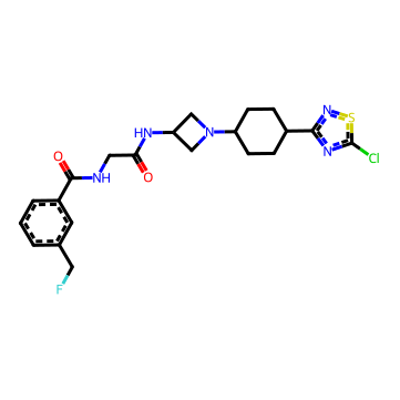 O=C(CNC(=O)c1cccc(CF)c1)NC1CN(C2CCC(c3nsc(Cl)n3)CC2)C1